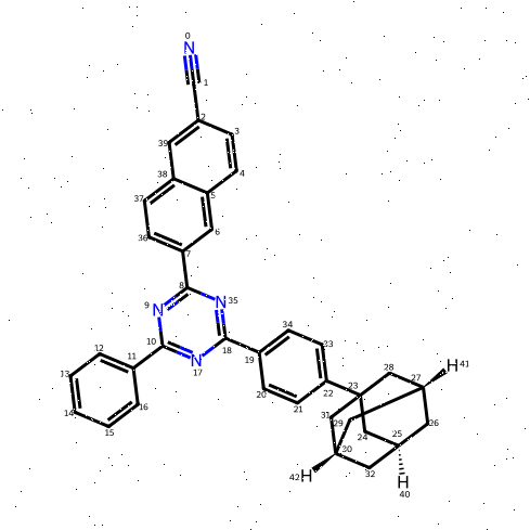 N#Cc1ccc2cc(-c3nc(-c4ccccc4)nc(-c4ccc(C56C[C@H]7C[C@@H](C5)C[C@@H](C6)C7)cc4)n3)ccc2c1